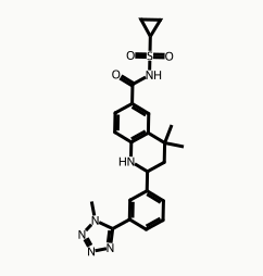 Cn1nnnc1-c1cccc(C2CC(C)(C)c3cc(C(=O)NS(=O)(=O)C4CC4)ccc3N2)c1